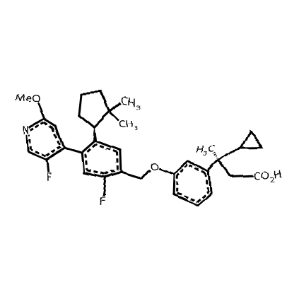 COc1cc(-c2cc(F)c(COc3cccc([C@](C)(CC(=O)O)C4CC4)c3)cc2[C@H]2CCCC2(C)C)c(F)cn1